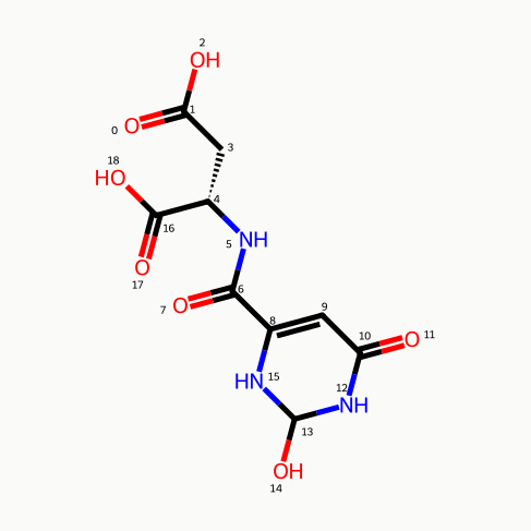 O=C(O)C[C@H](NC(=O)C1=CC(=O)NC(O)N1)C(=O)O